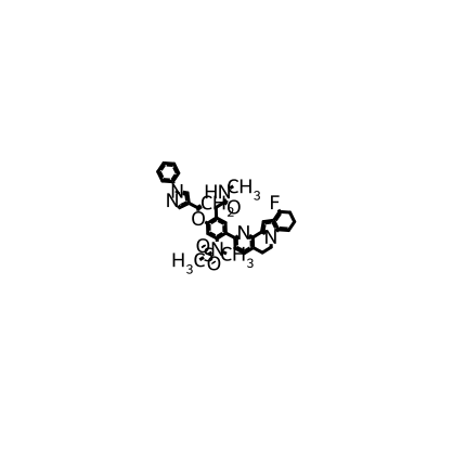 C=C(Oc1cc(N(C)S(C)(=O)=O)c(-c2ccc3c(n2)-c2cc4c(n2CC3)=CCCC=4F)cc1CC(=O)NC)c1cnn(-c2ccccc2)c1